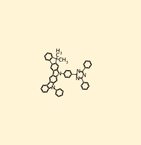 CC1(C)c2ccccc2-c2cc3c4cc5c6ccccc6n(-c6ccccc6)c5cc4n(-c4ccc(-c5nc(-c6ccccc6)nc(-c6ccccc6)n5)cc4)c3cc21